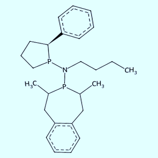 CCCCN(P1C(C)Cc2ccccc2CC1C)P1CCC[C@H]1c1ccccc1